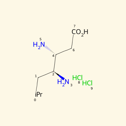 CC(C)C[C@H](N)[C@H](N)CC(=O)O.Cl.Cl